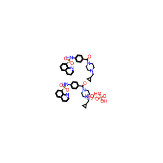 O.O.O=C(c1ccc(NS(=O)(=O)c2cccc3cccnc23)cc1)N1CCN(CC2CC2)CC1.O=C(c1ccc(NS(=O)(=O)c2cccc3cccnc23)cc1)N1CCN(CC2CC2)CC1.O=S(=O)(O)O